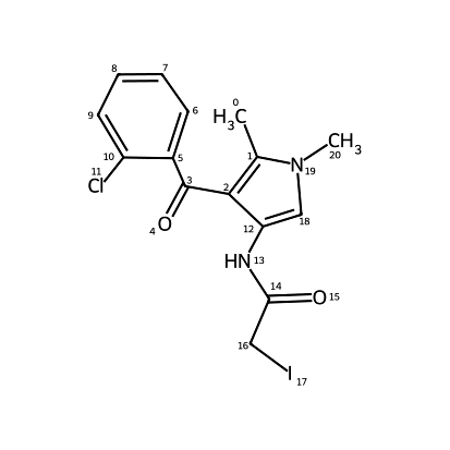 Cc1c(C(=O)c2ccccc2Cl)c(NC(=O)CI)cn1C